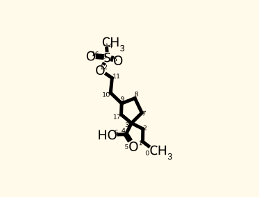 CCCC1(C(=O)O)CCC(CCOS(C)(=O)=O)C1